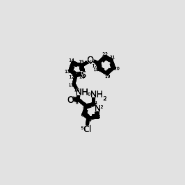 Nc1ncc(Cl)cc1C(=O)NCc1ccc(Oc2ccccc2)s1